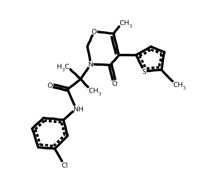 CC1=C(c2ccc(C)s2)C(=O)N(C(C)(C)C(=O)Nc2cccc(Cl)c2)CO1